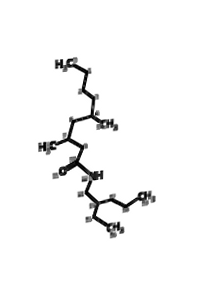 CCCCC(C)CC(C)CC(=O)NCC(CC)CCC